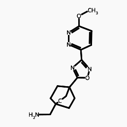 COc1ccc(-c2noc(C34CCC(CN)(CC3)CC4)n2)nn1